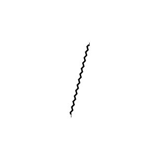 ICCCCCCCCCCCCCCCCCCCCCCCCCI